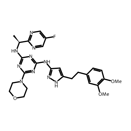 COc1ccc(CCc2cc(Nc3nc(N[C@@H](C)c4ncc(F)cn4)nc(N4CCOCC4)n3)n[nH]2)cc1OC